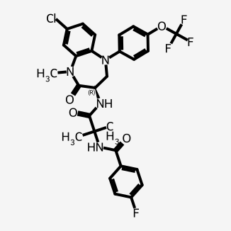 CN1C(=O)[C@H](NC(=O)C(C)(C)NC(=O)c2ccc(F)cc2)CN(c2ccc(OC(F)(F)F)cc2)c2ccc(Cl)cc21